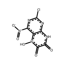 O=c1[nH]c2nc(Cl)nc([N+](=O)[O-])c2n(O)c1=O